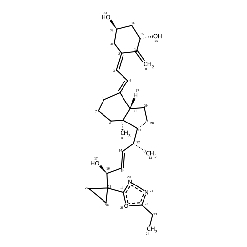 C=C1/C(=C\C=C2/CCC[C@]3(C)[C@@H]([C@H](C)/C=C/[C@H](O)C4(c5nnc(CC)o5)CC4)CC[C@@H]23)C[C@@H](O)C[C@@H]1O